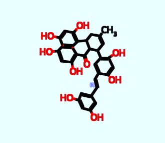 CC1=CC(c2cc(/C=C/c3cc(O)cc(O)c3)c(O)cc2O)C(C(=O)C2=C(O)C=C(O)CC2)C(c2c#cc(O)cc2O)C1